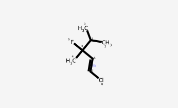 CC(C)C(C)(F)/C=C/Cl